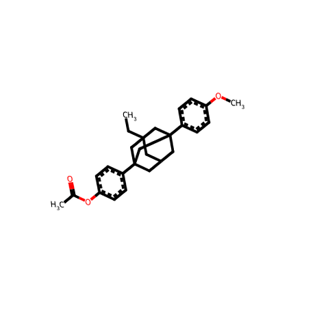 CCC12CC3CC(c4ccc(OC)cc4)(C1)CC(c1ccc(OC(C)=O)cc1)(C3)C2